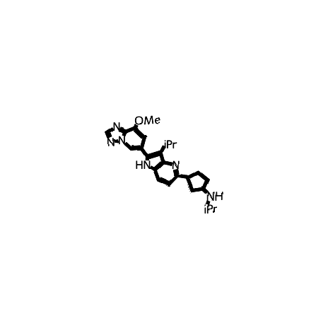 COc1cc(-c2[nH]c3ccc(C4CCC(NC(C)C)C4)nc3c2C(C)C)cn2ncnc12